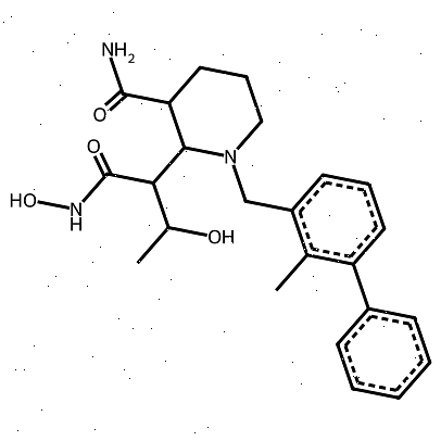 Cc1c(CN2CCCC(C(N)=O)C2C(C(=O)NO)C(C)O)cccc1-c1ccccc1